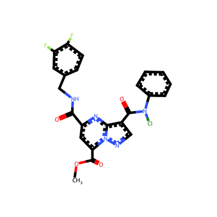 COC(=O)c1cc(C(=O)NCc2ccc(F)c(F)c2)nc2c(C(=O)N(Cl)c3ccccc3)cnn12